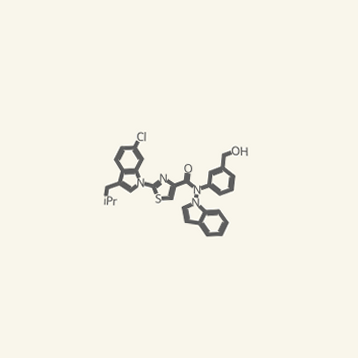 CC(C)Cc1cn(-c2nc(C(=O)N(c3cccc(CO)c3)n3ccc4ccccc43)cs2)c2cc(Cl)ccc12